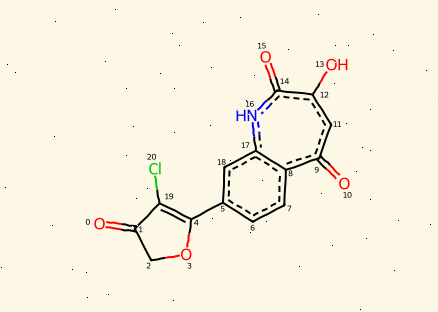 O=C1COC(c2ccc3c(=O)cc(O)c(=O)[nH]c3c2)=C1Cl